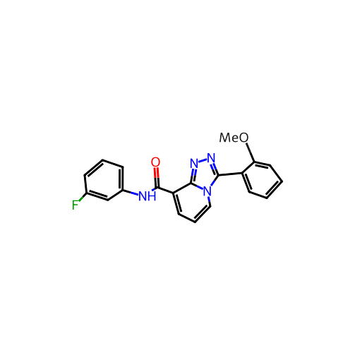 COc1ccccc1-c1nnc2c(C(=O)Nc3cccc(F)c3)cccn12